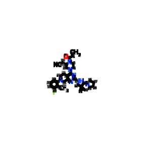 C=CC(=O)N1CCN(c2nc(NCC3(CN4CCCC4)CC3)nc3c2CCN(c2cccc(F)c2C(F)(F)F)C3)C[C@@H]1CC#N